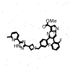 COC(=O)c1cnn2cc(-c3c(F)cccc3F)c(-c3ccc(CN4CC(c5n[nH]c(-c6cccc(C)n6)n5)C4)cc3)nc12